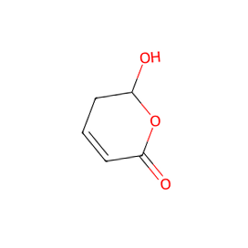 O=C1C=CCC(O)O1